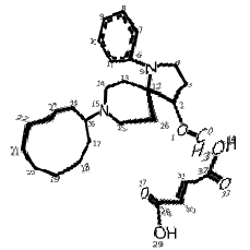 COC1CCN(c2ccccc2)C12CCN(C1CCCCCCCC1)CC2.O=C(O)C=CC(=O)O